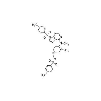 Cc1ccc(S(=O)(=O)OC[C@@H]2CCC(N(C)c3ncnc4c3ccn4S(=O)(=O)c3ccc(C)cc3)[C@@H](C)C2)cc1